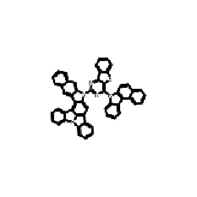 c1ccc2cc3c(cc2c1)c1c2c4ccccc4n4c5ccccc5c(cc1n3-c1nc(-n3c5ccccc5c5c6ccccc6ccc53)c3sc5ccccc5c3n1)c24